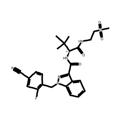 CC(C)(C)[C@H](NC(=O)c1nn(Cc2ccc(C#N)cc2F)c2ccccc12)C(=O)NCCS(C)(=O)=O